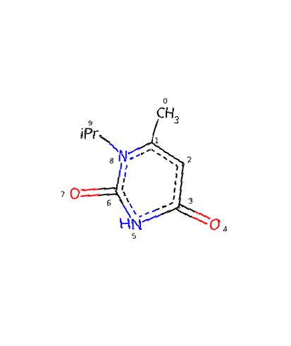 Cc1cc(=O)[nH]c(=O)n1C(C)C